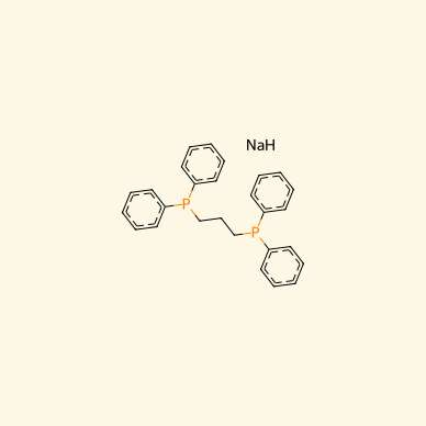 [NaH].c1ccc(P(CCCP(c2ccccc2)c2ccccc2)c2ccccc2)cc1